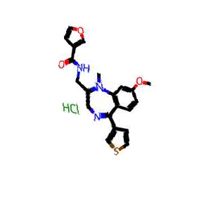 COc1ccc2c(c1)N(C)C(CNC(=O)c1ccoc1)CN=C2c1ccsc1.Cl